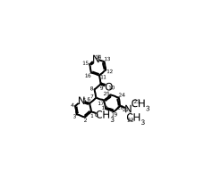 Cc1cccnc1C(CC(=O)c1ccncc1)c1ccc(N(C)C)cc1